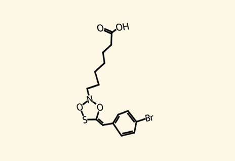 O=C(O)CCCCCCN1OSC(=Cc2ccc(Br)cc2)O1